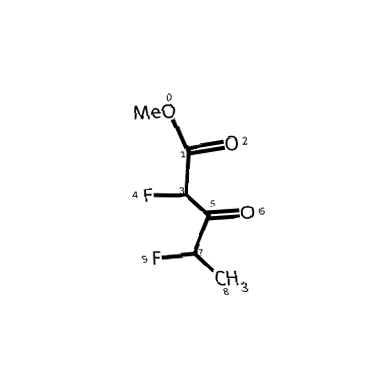 COC(=O)C(F)C(=O)C(C)F